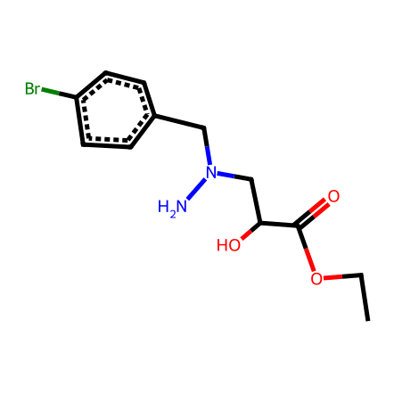 CCOC(=O)C(O)CN(N)Cc1ccc(Br)cc1